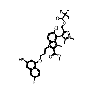 COC(=O)c1c(C)c2c(-c3c(COC(O)C(F)(F)F)nn(C)c3C)c(Cl)ccc2n1CCCOc1cc(S)cc2cc(F)ccc12